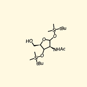 CC(=O)N[C@@H]1C(O[Si](C)(C)C(C)(C)C)O[C@H](CO)C1O[Si](C)(C)C(C)(C)C